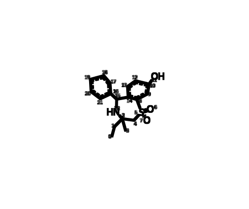 CCC1(C)CS(=O)(=O)c2cc(O)ccc2C(c2ccccc2)N1